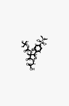 CN(C)S(=O)(=O)c1ccc(C2=NN(CC(=O)O)C(=O)C2(C)N(O)C(=O)OC(C)(C)C)cc1